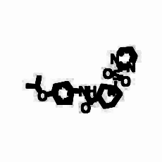 CC(C)Oc1ccc(NC(=O)[C@@H]2CCC[C@@H](S(=O)(=O)c3ncccn3)C2)cc1